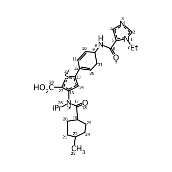 CCn1cncc1C(=O)NC1C=CC(c2cc(N(C(=O)C3CCC(C)CC3)C(C)C)c(C(=O)O)s2)=CC1